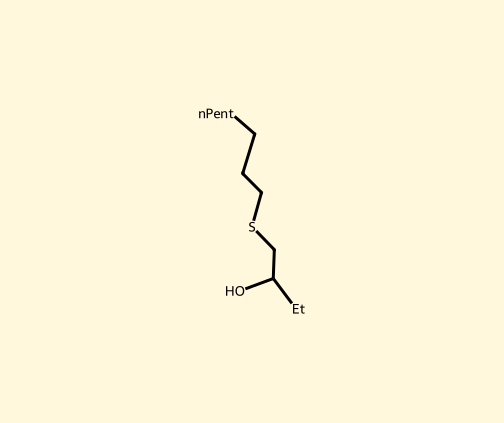 CCCCCCCCSCC(O)CC